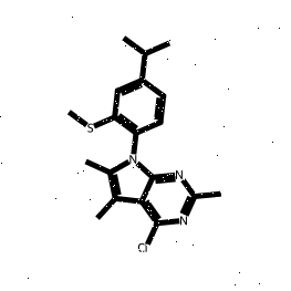 CSc1cc(C(C)C)ccc1-n1c(C)c(C)c2c(Cl)nc(C)nc21